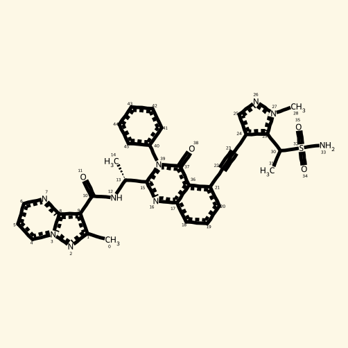 Cc1nn2cccnc2c1C(=O)N[C@H](C)c1nc2cccc(C#Cc3cnn(C)c3C(C)S(N)(=O)=O)c2c(=O)n1-c1ccccc1